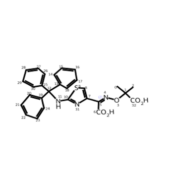 CC(C)(O/N=C(\C(=O)O)c1csc(NC(c2ccccc2)(c2ccccc2)c2ccccc2)n1)C(=O)O